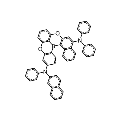 C1=CC2C(N(c3ccccc3)c3ccc4ccccc4c3)=CC3=C(B4c5c(cccc5Oc5cc(N(c6ccccc6)c6ccccc6)c6ccccc6c54)O3)C2C=C1